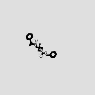 O=C(OCc1ccccc1)N1CC(F)(CNC2CC2c2ccccc2)C1